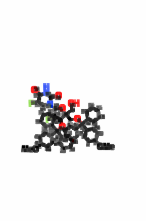 COc1ccc(C(OC[C@]2(CO)O[C@@H](n3cc(F)c(=O)[nH]c3=O)[C@@H](F)[C@@H]2OC(c2ccccc2)(c2ccccc2)c2ccc(OC)cc2)(c2ccccc2)c2ccccc2)cc1